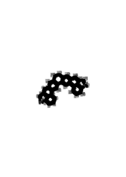 C1=Nc2cccc3c2c1cc1cc2c(cc13)-c1cc3c(cc1CC2)cc1c2c(cccc23)N=C1